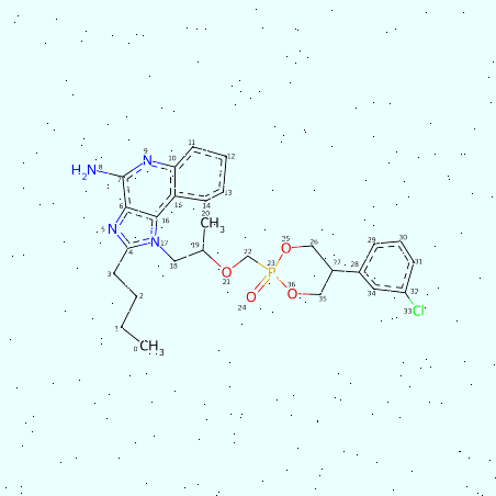 CCCCc1nc2c(N)nc3ccccc3c2n1CC(C)OCP1(=O)OCC(c2cccc(Cl)c2)CO1